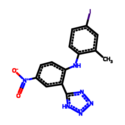 Cc1cc(I)ccc1Nc1ccc([N+](=O)[O-])cc1-c1nnn[nH]1